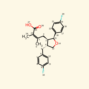 CC(C[C@@H]1[C@@H](Cc2ccc(F)cc2)CO[C@@H]1c1ccc(F)cc1)=C(C)C(=O)O